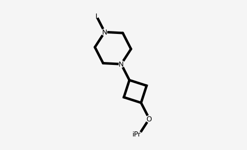 CC(C)OC1CC(N2CCN(I)CC2)C1